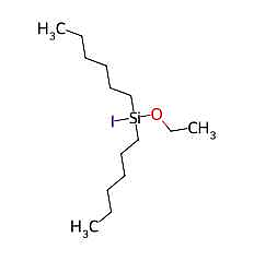 CCCCCC[Si](I)(CCCCCC)OCC